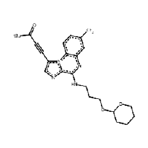 CC(C)(C)C(=O)C#Cc1cnc2c(NCCCOC3CCCCO3)nc3cc(C(F)(F)F)ccc3n12